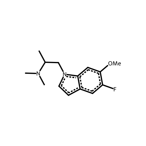 COc1cc2c(ccn2CC(C)N(C)C)cc1F